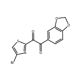 O=C(C(=O)c1nc(Br)cs1)c1ccc2c(c1)OCO2